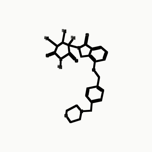 [2H]C1C(=O)N([2H])C(=O)C([2H])(N2Cc3c(OCc4ccc(CN5CCOCC5)cc4)cccc3C2=O)C1[2H]